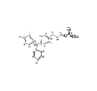 Cc1ccc(N(c2ccc(C)cc2)c2ccc(CCCOC(=O)C(C)(C)C)cc2)cc1